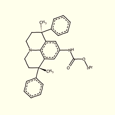 CCCOC(=O)Nc1cc2c3c(c1)[C@](C)(c1ccccc1)CCN3CC[C@@]2(C)c1ccccc1